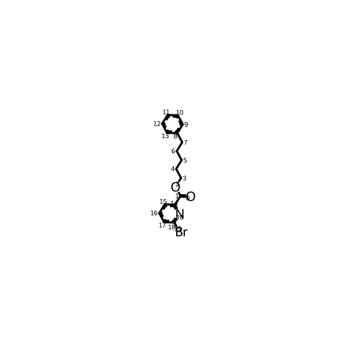 O=C(OCCCCCc1ccccc1)c1cccc(Br)n1